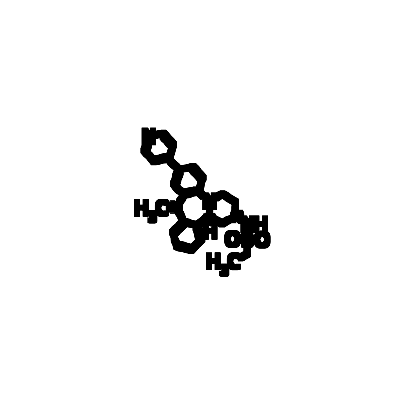 CCS(=O)(=O)N[C@@H]1CCN2c3ccc(-c4ccncc4)cc3[C@H](C)c3ccccc3[C@H]2C1